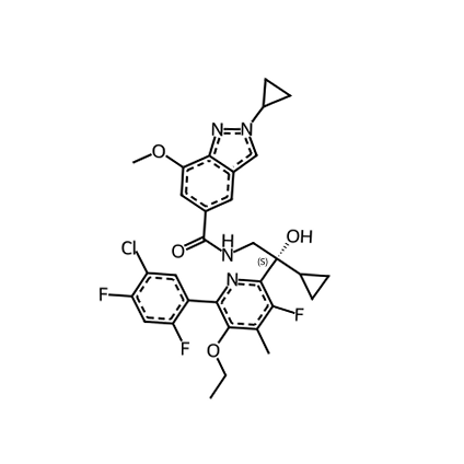 CCOc1c(-c2cc(Cl)c(F)cc2F)nc([C@@](O)(CNC(=O)c2cc(OC)c3nn(C4CC4)cc3c2)C2CC2)c(F)c1C